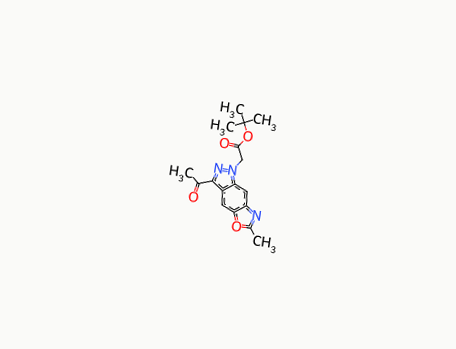 CC(=O)c1nn(CC(=O)OC(C)(C)C)c2cc3nc(C)oc3cc12